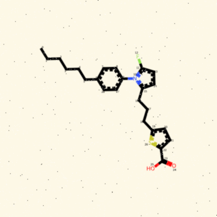 CCCCCCc1ccc(-n2c(F)ccc2CCCc2ccc(C(=O)O)s2)cc1